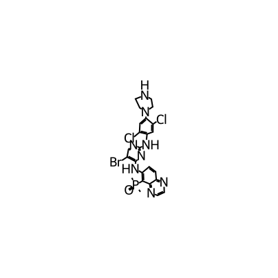 CP(C)(=O)c1c(Nc2nc(Nc3cc(Cl)c(N4CCNCC4)cc3Cl)ncc2Br)ccc2nccnc12